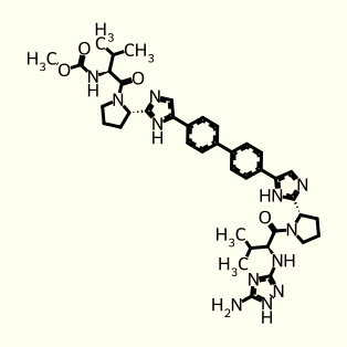 COC(=O)N[C@H](C(=O)N1CCC[C@H]1c1ncc(-c2ccc(-c3ccc(-c4cnc([C@@H]5CCCN5C(=O)[C@@H](Nc5n[nH]c(N)n5)C(C)C)[nH]4)cc3)cc2)[nH]1)C(C)C